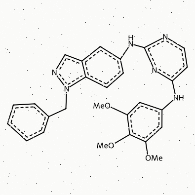 COc1cc(Nc2ccnc(Nc3ccc4c(cnn4Cc4ccccc4)c3)n2)cc(OC)c1OC